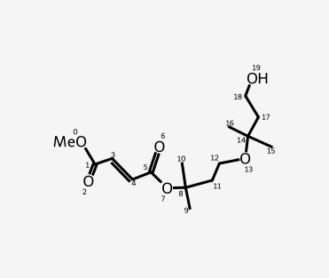 COC(=O)/C=C/C(=O)OC(C)(C)CCOC(C)(C)CCO